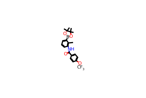 Cc1c(NC(=O)c2ccc(OC(F)(F)F)cc2)cccc1B1OC(C)(C)C(C)(C)O1